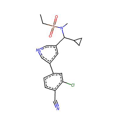 CCS(=O)(=O)N(C)C(c1cncc(-c2ccc(C#N)c(Cl)c2)c1)C1CC1